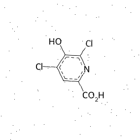 O=C(O)c1cc(Cl)c(O)c(Cl)n1